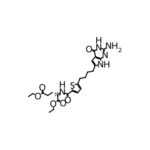 CCOC(=O)CC[C@H](NC(=O)c1ccc(CCCCc2cc3c(=O)[nH]c(N)nc3[nH]2)s1)C(=O)OCC